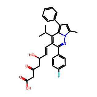 Cc1cc(-c2ccccc2)c2c(C(C)C)c(/C=C/C(O)CC(=O)CC(=O)O)c(-c3ccc(F)cc3)nn12